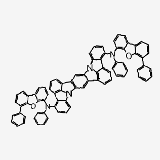 c1ccc(-c2cccc3c2oc2c(N(c4ccccc4)c4cccc5c4c4cccc6c7cc8c(cc7n5c64)c4cccc5c6c(N(c7ccccc7)c7cccc9c7oc7c(-c%10ccccc%10)cccc79)cccc6n8c45)cccc23)cc1